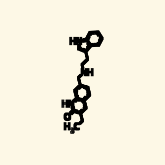 CCc1cc2ccc(CNCCc3c[nH]c4ccccc34)cc2[nH]c1=O